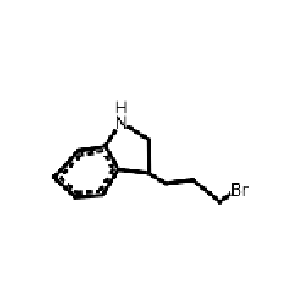 BrCCCC1CNc2ccccc21